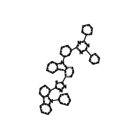 c1ccc(-c2nc(-c3ccccc3)nc(-c3cccc(-n4c5ccccc5c5c(-c6nnc(-c7cccc8c9ccccc9n(-c9ccccc9)c78)s6)cccc54)c3)n2)cc1